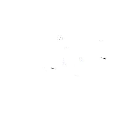 COc1ccccc1OC(=O)[C@@H](Cc1ccccc1)CN(CC(C)C)C(=O)N[C@@H](Cc1ccc(-c2ccccc2)cc1)C(=O)O